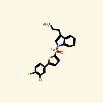 O=C(O)CCc1cn(S(=O)(=O)c2ccc(-c3ccc(F)c(Cl)c3)s2)c2ccccc12